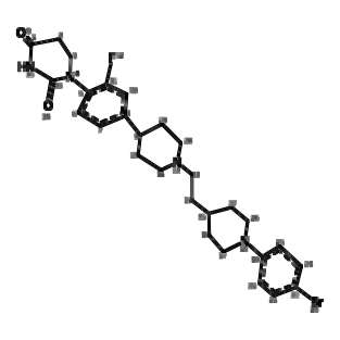 O=C1CCN(c2ccc(C3CCN(CCC4CCN(c5ccc(Br)cc5)CC4)CC3)cc2F)C(=O)N1